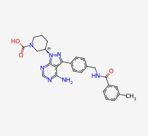 Cc1cccc(C(=O)NCc2ccc(-c3nn([C@@H]4CCCN(C(=O)O)C4)c4ncnc(N)c34)cc2)c1